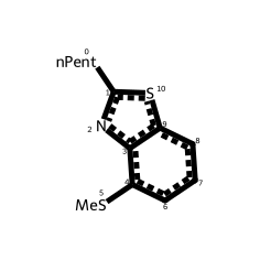 CCCCCc1nc2c(SC)cccc2s1